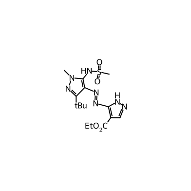 CCOC(=O)c1cn[nH]c1/N=N/c1c(C(C)(C)C)nn(C)c1NS(C)(=O)=O